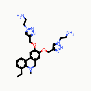 CCc1cccc2c1N(C)Cc1cc(OCc3cn(CCN)nn3)c(OCc3cn(CCN)nn3)cc1-2